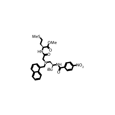 CC[C@H](C)[C@@H](CN(CC(=O)N[C@@H](CCSC)C(=O)OC)Cc1cccc2ccccc12)NC(=O)c1ccc([N+](=O)[O-])cc1